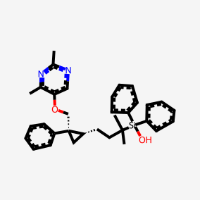 Cc1ncc(OC[C@@]2(c3ccccc3)C[C@H]2CCC(C)(C)[Si](O)(c2ccccc2)c2ccccc2)c(C)n1